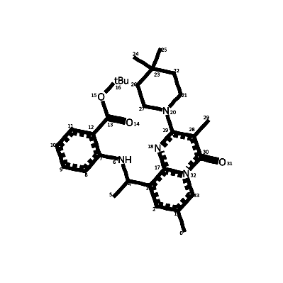 Cc1cc(C(C)Nc2ccccc2C(=O)OC(C)(C)C)c2nc(N3CCC(C)(C)CC3)c(C)c(=O)n2c1